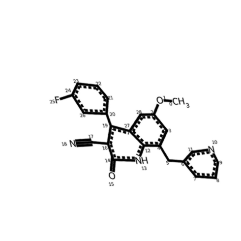 COc1cc(Cc2cccnc2)c2[nH]c(=O)c(C#N)c(-c3cccc(F)c3)c2c1